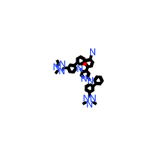 Cc1nc(C)nc(-c2ccc3c(c2)c2ccccc2n3-c2cc(-c3ccc(C#N)cc3)c(-n3c4ccccc4c4cc(-c5nc(C)nc(C)n5)ccc43)cn2)n1